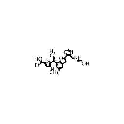 C=Nc1cc(C(O)CC)sc1/C(=C\C)c1cc(Cl)cc2c1OC(c1ocnc1CNCCO)C2